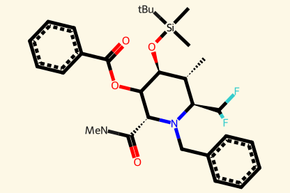 CNC(=O)[C@@H]1C(OC(=O)c2ccccc2)[C@@H](O[Si](C)(C)C(C)(C)C)[C@H](C)[C@@H](C(F)F)N1Cc1ccccc1